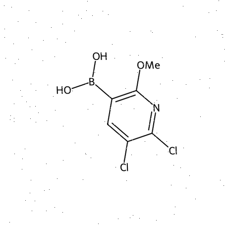 COc1nc(Cl)c(Cl)cc1B(O)O